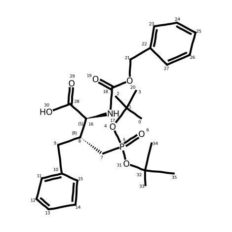 CC(C)(C)OP(=O)(C[C@H](Cc1ccccc1)[C@H](NC(=O)OCc1ccccc1)C(=O)O)OC(C)(C)C